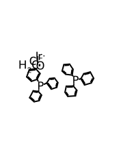 C=O.[Cl-].[Ir].c1ccc(P(c2ccccc2)c2ccccc2)cc1.c1ccc(P(c2ccccc2)c2ccccc2)cc1